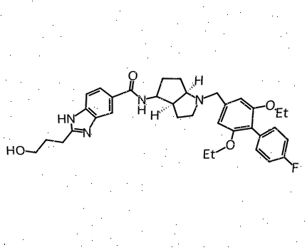 CCOc1cc(CN2CC[C@H]3C(NC(=O)c4ccc5[nH]c(CCCO)nc5c4)CC[C@H]32)cc(OCC)c1-c1ccc(F)cc1